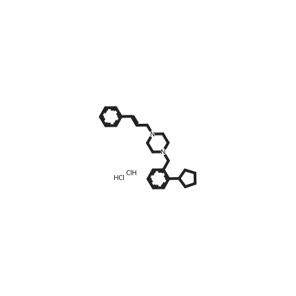 C(=Cc1ccccc1)CN1CCN(Cc2ccccc2C2CCCC2)CC1.Cl.Cl